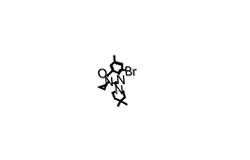 Cc1cc(Br)c2nc(N3CCC(C)(C)CC3)n(C3CC3)c(=O)c2c1